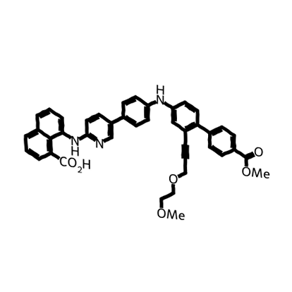 COCCOCC#Cc1cc(Nc2ccc(-c3ccc(Nc4cccc5cccc(C(=O)O)c45)nc3)cc2)ccc1-c1ccc(C(=O)OC)cc1